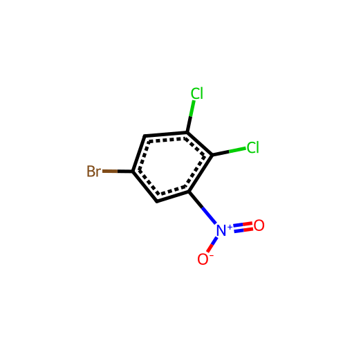 O=[N+]([O-])c1cc(Br)cc(Cl)c1Cl